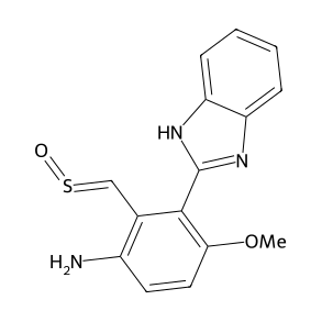 COc1ccc(N)c(C=S=O)c1-c1nc2ccccc2[nH]1